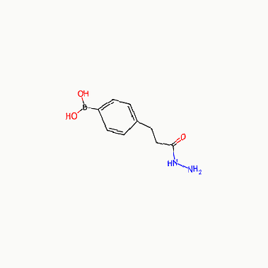 NNC(=O)CCc1ccc(B(O)O)cc1